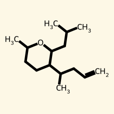 C=CCC(C)C1CCC(C)OC1CC(C)C